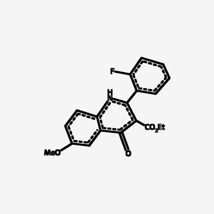 CCOC(=O)c1c(-c2ccccc2F)[nH]c2ccc(OC)cc2c1=O